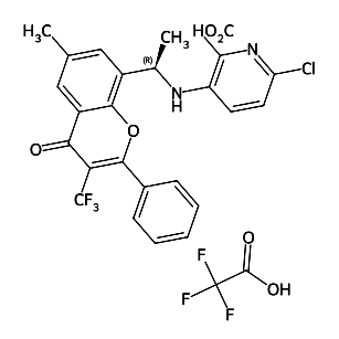 Cc1cc([C@@H](C)Nc2ccc(Cl)nc2C(=O)O)c2oc(-c3ccccc3)c(C(F)(F)F)c(=O)c2c1.O=C(O)C(F)(F)F